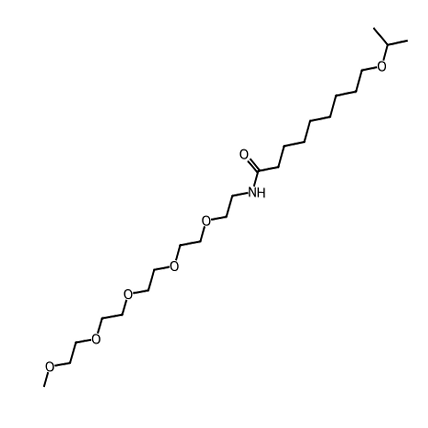 COCCOCCOCCOCCOCCNC(=O)CCCCCCCCOC(C)C